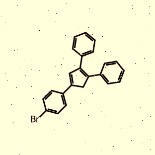 Brc1ccc(C2=CC(c3ccccc3)=C(c3ccccc3)C2)cc1